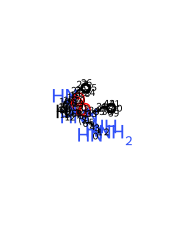 N=C(N)NCCC[C@H](NC(=O)[C@@H]1CC[C@@H]2CCC(NC(=O)Cc3ccccc3)C(=O)N21)C(=O)NCCCc1ccccc1